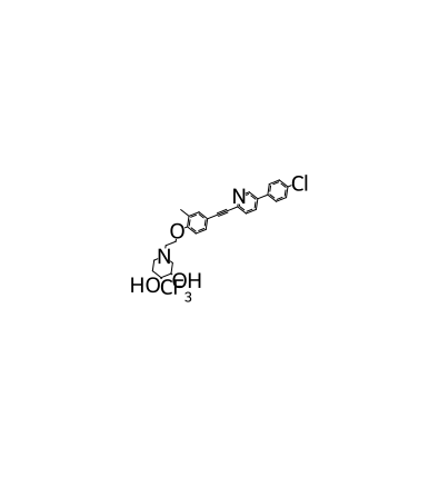 Cc1cc(C#Cc2ccc(-c3ccc(Cl)cc3)cn2)ccc1OCCN1CC[C@@](O)(C(F)(F)F)[C@H](O)C1